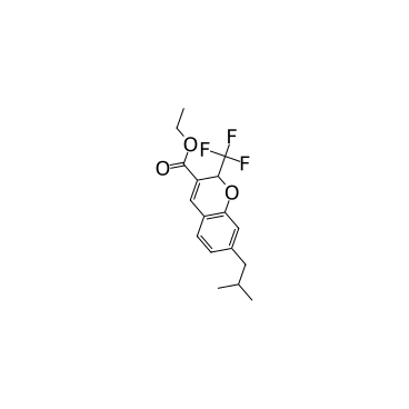 CCOC(=O)C1=Cc2ccc(CC(C)C)cc2OC1C(F)(F)F